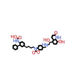 O=C(O)Nc1ccc(CCCCn2c(=O)oc3cc(CNCC(O)c4ccc(O)c5[nH]c(=O)ccc45)ccc32)cc1-c1ccccc1